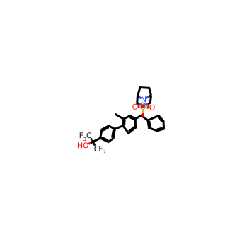 Cc1cc(CN2CC3CCC(C2)N3S(=O)(=O)Cc2ccccc2)ccc1-c1ccc(C(O)(C(F)(F)F)C(F)(F)F)cc1